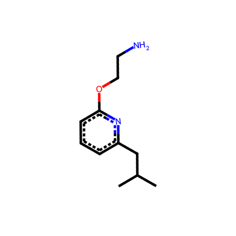 CC(C)Cc1cccc(OCCN)n1